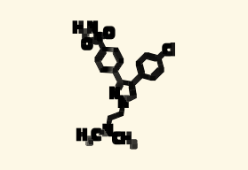 CN(C)CCn1cc(-c2ccc(Cl)cc2)c(-c2ccc(S(N)(=O)=O)cc2)n1